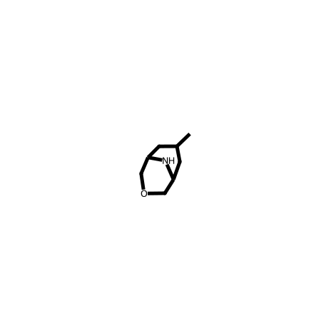 CC1CC2COCC(C1)N2